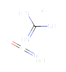 Cl.N=C(N)N.[Cs+].[N-]=C=O